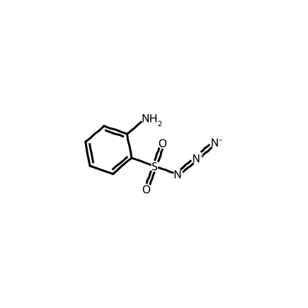 [N-]=[N+]=NS(=O)(=O)c1ccccc1N